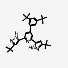 CC(C)(C)c1cc(-c2cc(-c3cc(C(C)(C)C)n[nH]3)nc(-c3cc(C(C)(C)C)n[nH]3)c2)cc(C(C)(C)C)c1